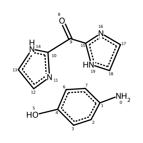 Nc1ccc(O)cc1.O=C(c1ncc[nH]1)c1ncc[nH]1